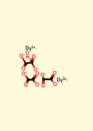 O.O=C([O-])C(=O)[O-].O=C([O-])C(=O)[O-].O=C([O-])C(=O)[O-].[Dy+3].[Dy+3]